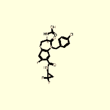 O=C(O)N[C@H]1CSc2cc(F)c(C(=O)NC3CC3(F)F)cc2N(Cc2ccc(Cl)cc2)C1=O